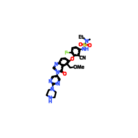 CCN(C)S(=O)(=O)Nc1ccc(F)c(Oc2ccc3ncn(-c4cnc(N5CCNCC5)nc4)c(=O)c3c2COC)c1C#N